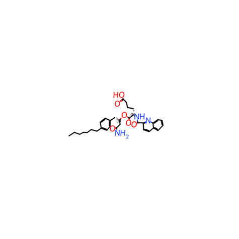 CCCCCCCc1ccc(C[C@@H](CC(N)=O)OC(=O)[C@H](CCCC(=O)O)NC(=O)c2ccc3ccccc3n2)cc1